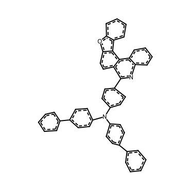 c1ccc(-c2ccc(N(c3ccc(-c4ccccc4)cc3)c3ccc(-c4nc5ccccc5c5c4ccc4oc6ccccc6c45)cc3)cc2)cc1